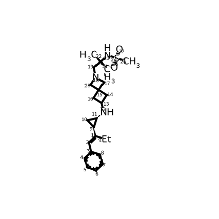 CC/C(=C\c1ccccc1)[C@H]1C[C@@H]1NC1CC2(C1)CN(CC(C)(C)NS(C)(=O)=O)C2